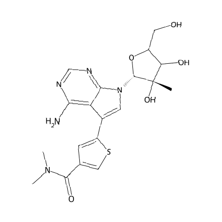 CN(C)C(=O)c1csc(-c2cn([C@@H]3OC(CO)C(O)[C@]3(C)O)c3ncnc(N)c23)c1